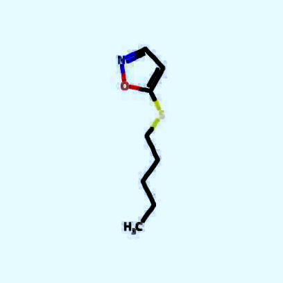 CCCCCSc1ccno1